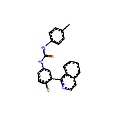 Cc1ccc(NC(=S)Nc2ccc(Cl)c(-c3nccc4ccccc34)c2)cc1